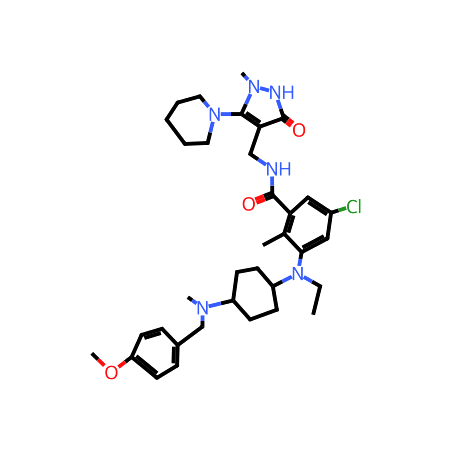 CCN(c1cc(Cl)cc(C(=O)NCc2c(N3CCCCC3)n(C)[nH]c2=O)c1C)C1CCC(N(C)Cc2ccc(OC)cc2)CC1